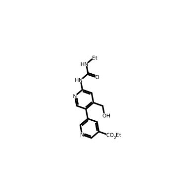 CCNC(=O)Nc1cc(CO)c(-c2cncc(C(=O)OCC)c2)cn1